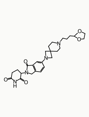 O=C1CCC(N2Cc3ccc(N4CC5(CCN(CCCC6OCCO6)CC5)C4)cc3C2=O)C(=O)N1